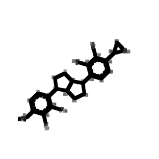 CCCc1ccc(C2CCC3C(c4ccc(C5CO5)c(F)c4F)CCC23)c(F)c1F